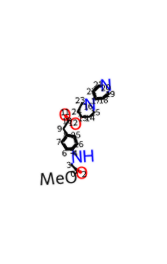 COC(=O)CNc1ccc(CC(=O)OC2CCN(c3ccncc3)CC2)cc1